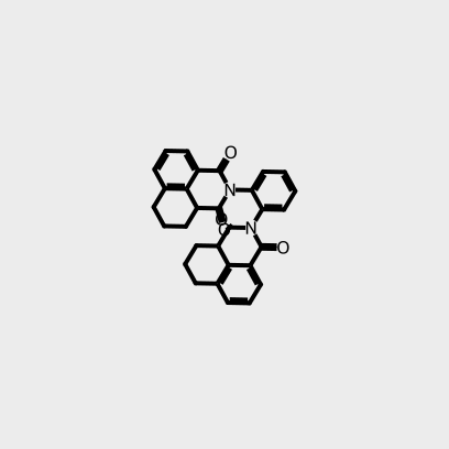 O=C1c2cccc3c2C(CCC3)C(=O)N1c1ccccc1N1C(=O)c2cccc3c2C(CCC3)C1=O